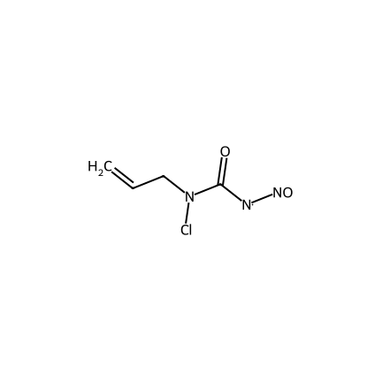 C=CCN(Cl)C(=O)[N]N=O